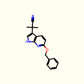 CC(C)(C#N)c1c[nH]c2nc(OCc3ccccc3)ccc12